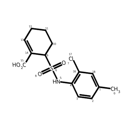 Cc1ccc(NS(=O)(=O)C2CCCC=C2C(=O)O)c(Cl)c1